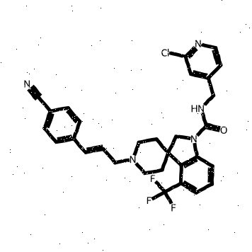 N#Cc1ccc(C=CCN2CCC3(CC2)CN(C(=O)NCc2ccnc(Cl)c2)c2cccc(C(F)(F)F)c23)cc1